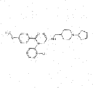 COc1ccc(C(=O)N(CC(=O)NCC2CCN(C3CCCC3)CC2)c2ccccc2Cl)cc1